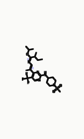 CCC(C)/C(=N\C=C(/C)c1nc(NC2CCN(S(C)(=O)=O)CC2)ncc1C(F)(F)F)OC(C)C